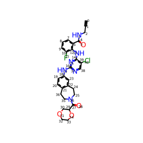 C#CCNC(=O)c1cccc(F)c1Nc1nc(Nc2ccc3c(c2)CCN(C(=O)C2COCCO2)CC3)ncc1Cl